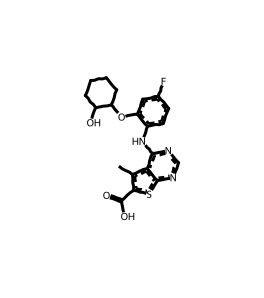 Cc1c(C(=O)O)sc2ncnc(Nc3ccc(F)cc3OC3CCCCC3O)c12